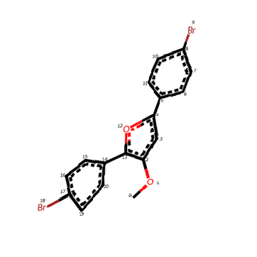 COc1cc(-c2ccc(Br)cc2)oc1-c1ccc(Br)cc1